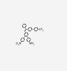 Nc1ccc(-c2ccc(C=C(c3ccccc3)c3ccc(-c4ccc(C(F)(F)F)cc4)cc3)cc2-c2ccc([N+](=O)[O-])cc2)cc1